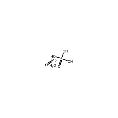 O.O=P(O)(O)O.[O]=[Mo]